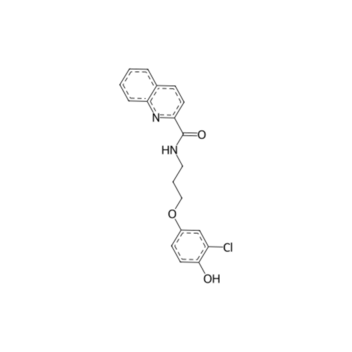 O=C(NCCCOc1ccc(O)c(Cl)c1)c1ccc2ccccc2n1